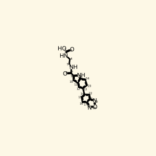 O=C(O)NCCNC(=O)c1cc2cc(-c3ccc4nonc4c3)ccc2[nH]1